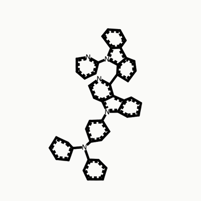 c1ccc(N(c2ccccc2)c2ccc(-n3c4ccccc4c4c(-c5cccc6c7ccccc7n(-c7ccccn7)c56)nccc43)cc2)cc1